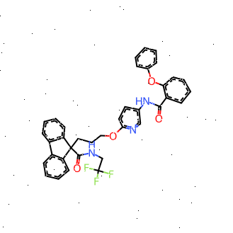 O=C(Nc1ccc(OCCCC2(C(=O)NCC(F)(F)F)c3ccccc3-c3ccccc32)nc1)c1ccccc1Oc1ccccc1